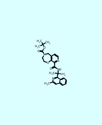 Cc1cc2ccccc2c(C(C)(C)NC(=O)c2nccc3c2OCCN(C(=O)OC(C)(C)C)C3)n1